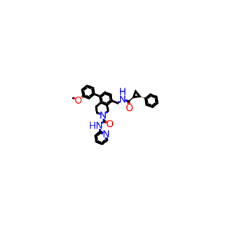 COc1cccc(-c2ccc(CNC(=O)[C@H]3C[C@@H]3c3ccccc3)c3c2CCN(C(=O)Nc2ccccn2)C3)c1